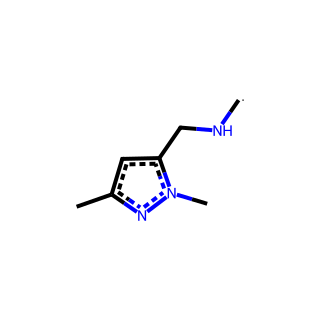 [CH2]NCc1cc(C)nn1C